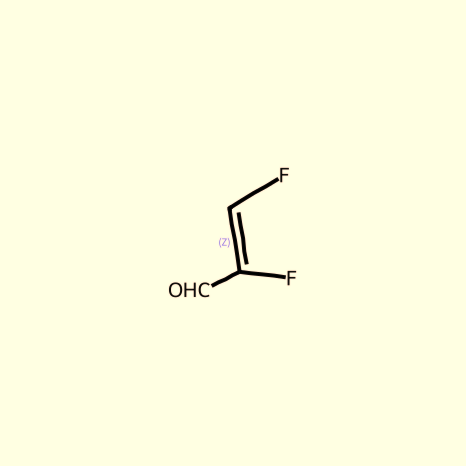 O=C/C(F)=C/F